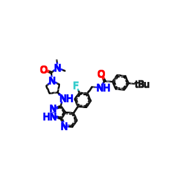 CN(C)C(=O)N1CC[C@H](Nc2n[nH]c3nccc(-c4ccc(CNC(=O)c5ccc(C(C)(C)C)cc5)c(F)c4)c23)C1